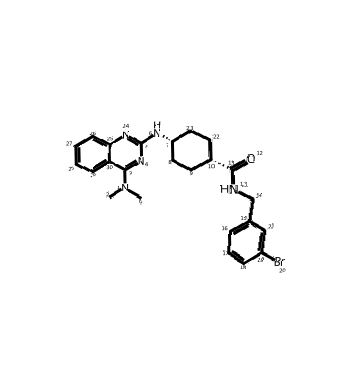 CN(C)c1nc(N[C@H]2CC[C@@H](C(=O)NCc3cccc(Br)c3)CC2)nc2ccccc12